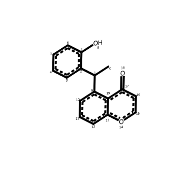 CC(c1ccccc1O)c1cccc2occc(=O)c12